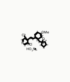 COc1ccc(/C=C/c2c(Cl)cncc2Cl)c2c1OC1(CCCC1)C2.CS(=O)(=O)O